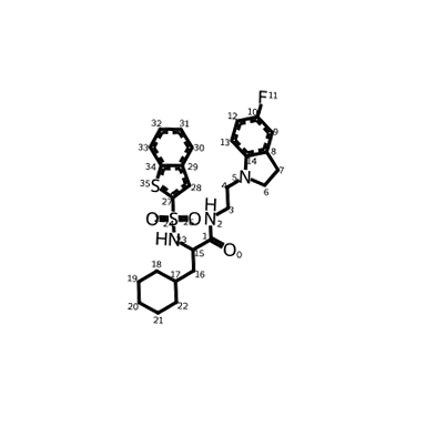 O=C(NCCN1CCc2cc(F)ccc21)C(CC1CCCCC1)NS(=O)(=O)c1cc2ccccc2s1